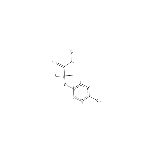 CC(C)(Oc1ccc(Cl)cc1)C(=O)CBr